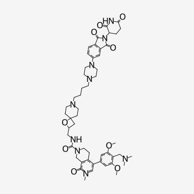 COc1cc(-c2cn(C)c(=O)c3c2CCN(C(=O)NCC2CC4(CCN(CCCCN5CCN(c6ccc7c(c6)C(=O)N(C6CCC(=O)NC6=O)C7=O)CC5)CC4)O2)C3)cc(OC)c1CN(C)C